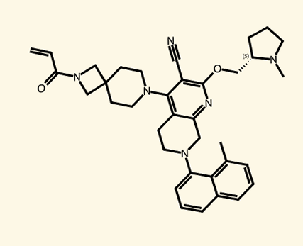 C=CC(=O)N1CC2(CCN(c3c(C#N)c(OC[C@@H]4CCCN4C)nc4c3CCN(c3cccc5cccc(C)c35)C4)CC2)C1